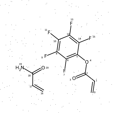 C=CC(=O)Oc1c(F)c(F)c(F)c(F)c1F.C=CC(N)=O